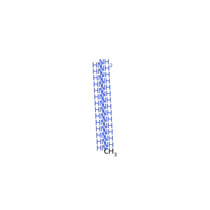 CNNNNNNNNNNNNNNNNNNNNNNNNNNNN